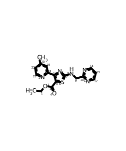 CCOC(=O)c1sc(NCc2ncccn2)nc1-c1cc(C)ccn1